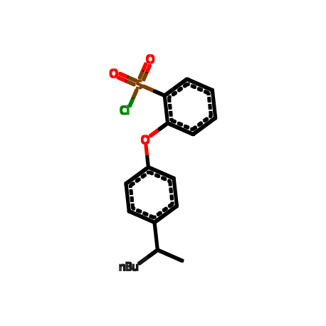 CCCCC(C)c1ccc(Oc2ccccc2S(=O)(=O)Cl)cc1